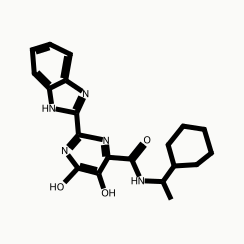 CC(NC(=O)c1nc(-c2nc3ccccc3[nH]2)nc(O)c1O)C1CCCCC1